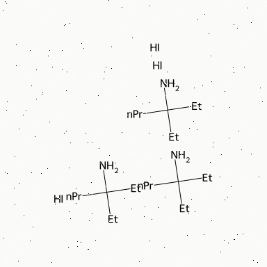 CCCC(N)(CC)CC.CCCC(N)(CC)CC.CCCC(N)(CC)CC.I.I.I